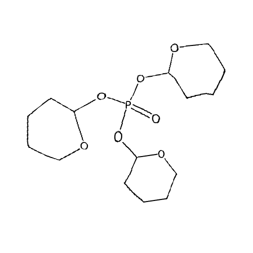 O=P(OC1CCCCO1)(OC1CCCCO1)OC1CCCCO1